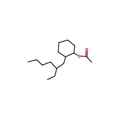 CCCCC(CC)CC1CCCCC1OC(C)=O